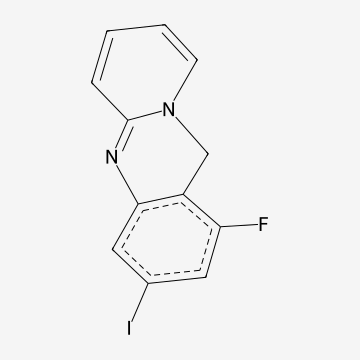 Fc1cc(I)cc2c1CN1C=CC=CC1=N2